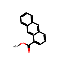 CCCCOC(=O)c1cccc2cc3ccccc3cc12